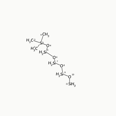 C[Si](C)(C)O[SiH2]O[SiH2]O[SiH2]O[SiH3]